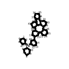 c1ccc(N(c2ccccc2)c2cccc(-c3ccc4c(c3)c3ccccc3c3cccc5c6ccccc6c6cccc4c6c35)c2)cc1